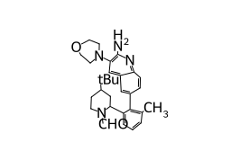 Cc1cccc(C2CC(C(C)(C)C)CCN2C=O)c1-c1ccc2nc(N)c(N3CCOCC3)cc2c1